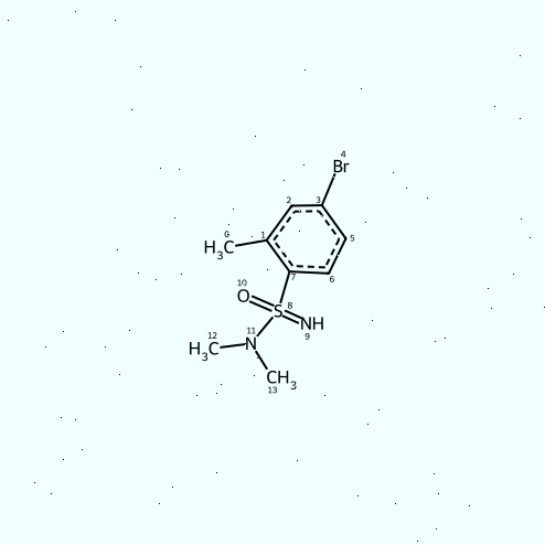 Cc1cc(Br)ccc1S(=N)(=O)N(C)C